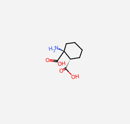 N[C@@]1(C(=O)O)CCCC[C@@H]1C(=O)O